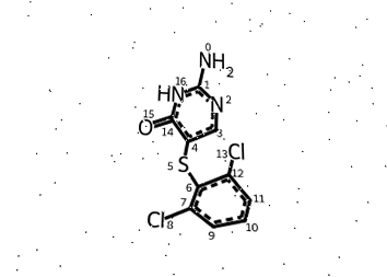 Nc1ncc(Sc2c(Cl)cccc2Cl)c(=O)[nH]1